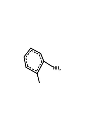 Cc1ccc[c]c1N